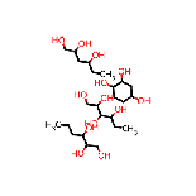 CCC(O)C(O)C(O)CO.CCC(O)CC(O)CO.CCCC(O)C(O)CO.OC1CCC(O)C(O)C1